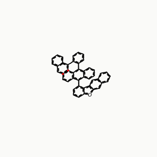 c1ccc(-c2c3ccccc3c(-c3cccc4oc5cc6ccccc6cc5c34)c3ccccc23)c(-c2cccc3ccccc23)c1